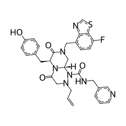 C=CCN1CC(=O)N2[C@@H](Cc3ccc(O)cc3)C(=O)N(Cc3ccc(F)c4scnc34)C[C@@H]2N1C(=O)NCc1cccnc1